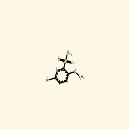 COc1ccc(Br)nc1S(C)(=O)=O